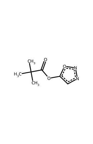 CC(C)(C)C(=O)Oc1cnno1